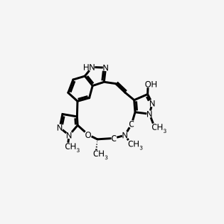 C[C@H]1CN(C)Cc2c(c(O)nn2C)/C=C/c2n[nH]c3ccc(cc23)-c2cnn(C)c2O1